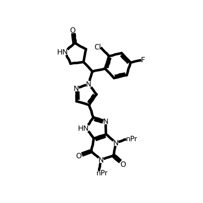 CCCn1c(=O)c2[nH]c(-c3cnn(C(c4ccc(F)cc4Cl)C4CNC(=O)C4)c3)nc2n(CCC)c1=O